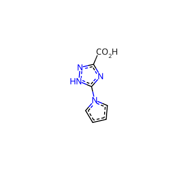 O=C(O)c1n[nH]c(-n2cccc2)n1